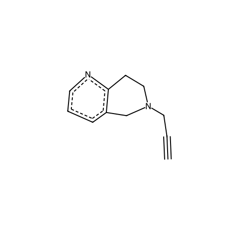 C#CCN1CCc2ncccc2C1